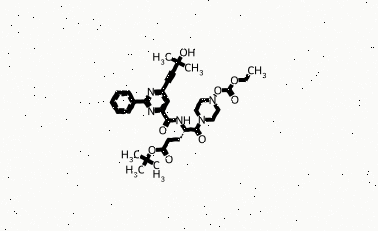 CCOC(=O)ON1CCN(C(=O)[C@H](CCC(=O)OC(C)(C)C)NC(=O)c2cc(C#CC(C)(C)O)nc(-c3ccccc3)n2)CC1